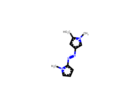 Cn1cccc1/N=N/c1cc(C(=O)O)n(C)c1